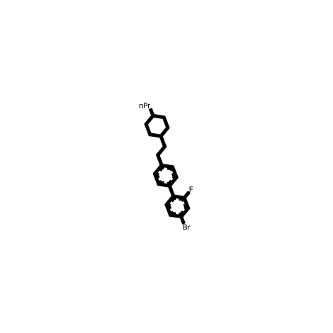 CCCC1CCC(CCc2ccc(-c3ccc(Br)cc3F)cc2)CC1